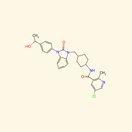 Cc1ncc(Cl)cc1C(=O)NC1CCC(Cn2c(=O)n(-c3ccc(C(C)O)cc3)c3ccccc32)CC1